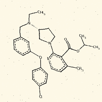 CCN(Cc1cccc(Oc2ccc(Cl)cc2)c1)[C@@H]1CCN(c2nccc(C)c2C(=O)OC(C)C)C1